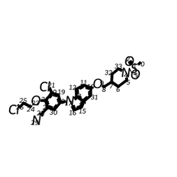 CS(=O)(=O)N1CCC(COc2ccc3c(ccn3-c3cc(Cl)c(OCCCl)c(C#N)c3)c2)CC1